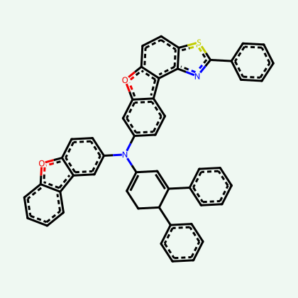 C1=C(c2ccccc2)C(c2ccccc2)CC=C1N(c1ccc2c(c1)oc1ccc3sc(-c4ccccc4)nc3c12)c1ccc2oc3ccccc3c2c1